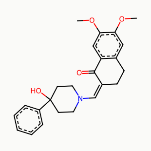 COc1cc2c(cc1OC)C(=O)C(=CN1CCC(O)(c3ccccc3)CC1)CC2